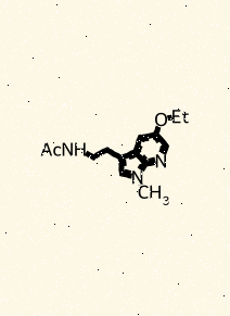 CCOc1cnc2c(c1)c(CCNC(C)=O)cn2C